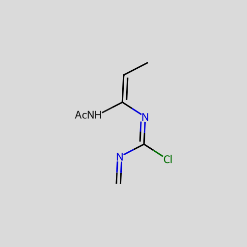 C=N/C(Cl)=N\C(=C/C)NC(C)=O